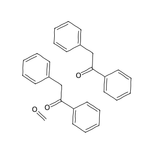 C=O.O=C(Cc1ccccc1)c1ccccc1.O=C(Cc1ccccc1)c1ccccc1